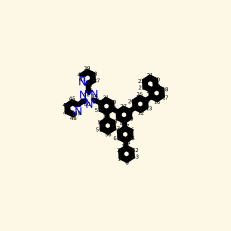 c1ccc(-c2ccc(-c3cc(-c4ccc(-c5cccc6ccccc56)cc4)cc(-c4ccc(-c5nc(-c6ccccn6)nc(-c6ccccn6)n5)cc4-c4ccccc4)c3)cc2)cc1